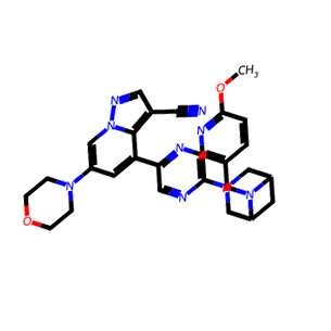 COc1ccc(CN2C3CC2CN(c2cnc(-c4cc(N5CCOCC5)cn5ncc(C#N)c45)cn2)C3)cn1